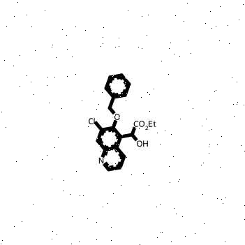 CCOC(=O)C(O)c1c(OCc2ccccc2)c(Cl)cc2ncccc12